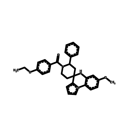 CCOc1ccc(C(=O)N2CCC3(CC2c2ccccc2)Nc2cc(OC)ccc2-n2cccc23)cc1